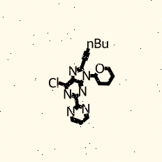 CCCCC#Cc1nc2c(Cl)nc(-c3ncccn3)nc2n1C1CCCCO1